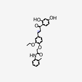 CCOc1cc(/C=C/C(=O)c2ccc(O)cc2O)ccc1OCC(=O)Nc1ccccc1C